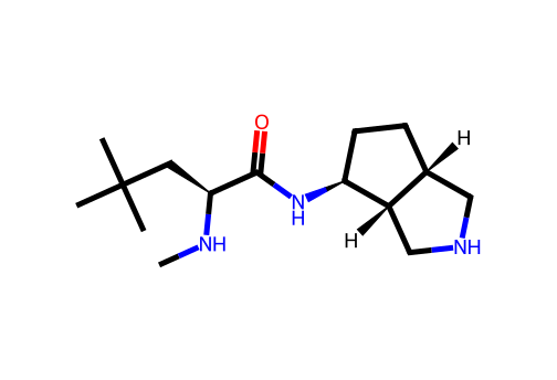 CN[C@@H](CC(C)(C)C)C(=O)N[C@H]1CC[C@@H]2CNC[C@@H]21